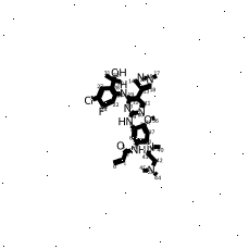 C=CC(=O)Nc1cc(Nc2ncc(-c3cnn(C)c3)c(Nc3cc(F)c(Cl)cc3C(C)(C)O)n2)c(OC)cc1N(C)CCN(C)C